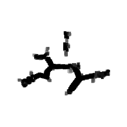 CCCCCCCC(=O)NC(CC(=O)[O-])C(=O)[O-].[K+].[K+]